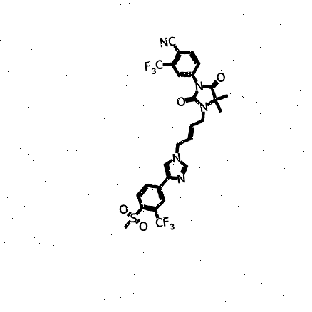 CC1(C)C(=O)N(c2ccc(C#N)c(C(F)(F)F)c2)C(=O)N1CC=CCn1cnc(-c2ccc(S(C)(=O)=O)c(C(F)(F)F)c2)c1